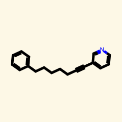 C(#Cc1cccnc1)CCCCCc1ccccc1